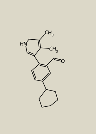 CC1=C(C)C(c2ccc(C3CCCCC3)cc2C=O)=CNC1